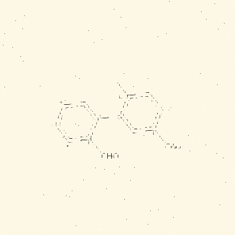 COc1cc(-c2ccccc2C=O)c(F)cn1